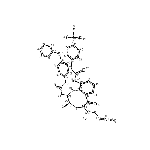 C[C@@H]1CN([C@@H](C)CN=[N+]=[N-])C(=O)c2cccc(NC(=O)Cc3ccc(C(F)(F)F)cc3)c2O[C@@H]1CN(C)Cc1ccc(Sc2ccccc2)cc1